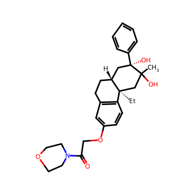 CC[C@@]12CC(C)(O)[C@](O)(c3ccccc3)C[C@H]1CCc1cc(OCC(=O)N3CCOCC3)ccc12